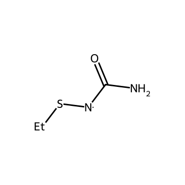 CCS[N]C(N)=O